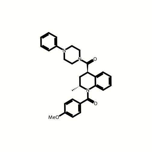 COc1ccc(C(=O)N2c3ccccc3[C@H](C(=O)N3CCN(c4ccccc4)CC3)C[C@H]2C)cc1